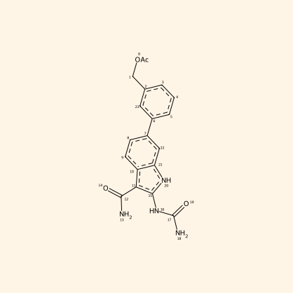 CC(=O)OCc1cccc(-c2ccc3c(C(N)=O)c(NC(N)=O)[nH]c3c2)c1